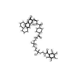 CCC(C)(CCNC(=O)c1c(F)c(C)c(C)c(F)c1F)COCC(C)(C)CCNC(=O)C1CCN(C(=O)C(C#N)/C=C\c2cc3cc4c5c(c3oc2=O)CCCN5CCC4)CC1